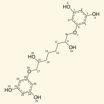 Oc1cc(O)cc(OCC(O)CCCCC(O)COc2cc(O)cc(O)c2)c1